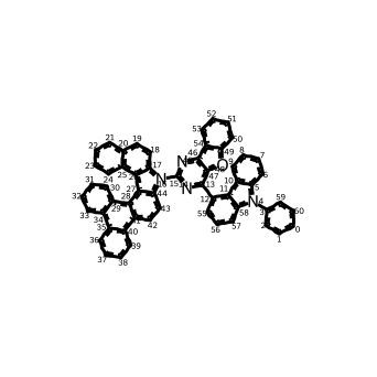 c1ccc(-n2c3ccccc3c3c(-c4nc(-n5c6ccc7ccccc7c6c6c7c8ccccc8c8ccccc8c7ccc65)nc5c4oc4ccccc45)cccc32)cc1